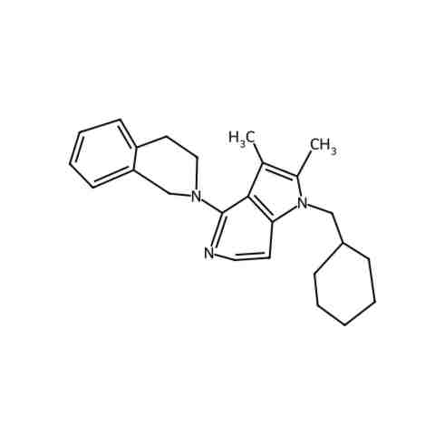 Cc1c(C)n(CC2CCCCC2)c2ccnc(N3CCc4ccccc4C3)c12